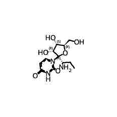 CCC(N)[C@@]1(n2ccc(=O)[nH]c2=O)O[C@H](CO)[C@@H](O)[C@H]1O